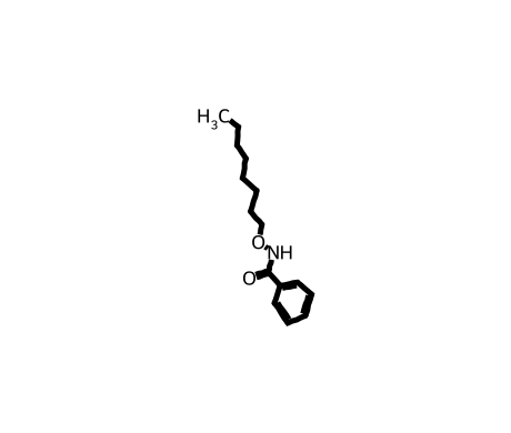 CCCCCCCCONC(=O)c1ccccc1